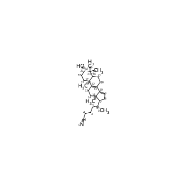 C[C@H](CCCC#N)C1CC=C2C3=C(CC[C@@]21C)[C@@]1(C)CC[C@H](O)C(C)(C)C1CC3